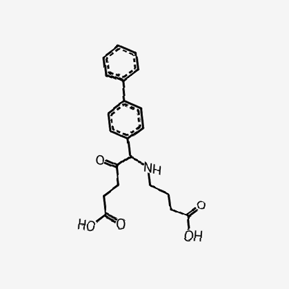 O=C(O)CCCNC(C(=O)CCC(=O)O)c1ccc(-c2ccccc2)cc1